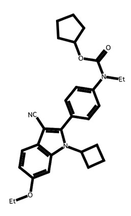 CCOc1ccc2c(C#N)c(-c3ccc(N(CC)C(=O)OC4CCCC4)cc3)n(C3CCC3)c2c1